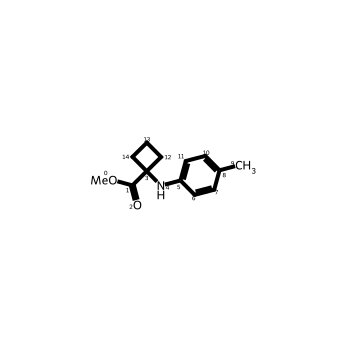 COC(=O)C1(Nc2ccc(C)cc2)CCC1